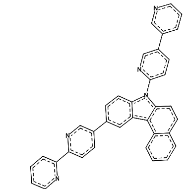 c1ccc(-c2ccc(-c3ccc4c(c3)c3c5ccccc5ccc3n4-c3ccc(-c4cccnc4)cn3)cn2)nc1